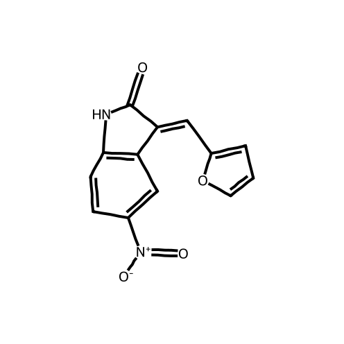 O=C1Nc2ccc([N+](=O)[O-])cc2/C1=C\c1ccco1